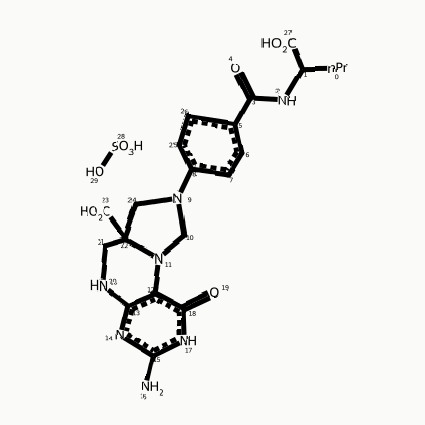 CCCC(NC(=O)c1ccc(N2CN3c4c(nc(N)[nH]c4=O)NCC3(C(=O)O)C2)cc1)C(=O)O.O=S(=O)(O)O